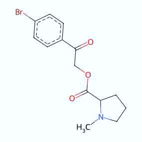 CN1CCCC1C(=O)OCC(=O)c1ccc(Br)cc1